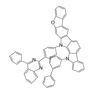 c1ccc(-c2cccc(-n3c4ccccc4c4ccc5c6cc7c(cc6n(-c6ccc(-c8nc(-c9ccccc9)c9ccccc9n8)cc6)c5c43)oc3ccccc37)c2)cc1